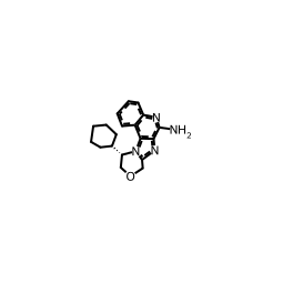 Nc1nc2ccccc2c2c1nc1n2[C@@H](C2CCCCC2)COC1